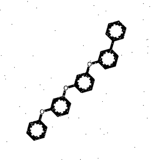 c1ccc(Oc2cccc(Oc3cccc(Oc4cccc(-c5ccccc5)c4)c3)c2)cc1